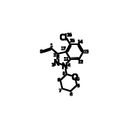 C=Cc1nn(C2CCCCO2)c2cccc(Cl)c12